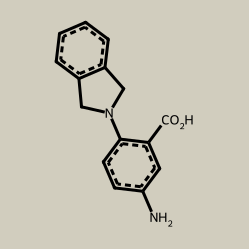 Nc1ccc(N2Cc3ccccc3C2)c(C(=O)O)c1